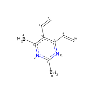 Bc1nc(B)c(C=C)c(C=C)n1